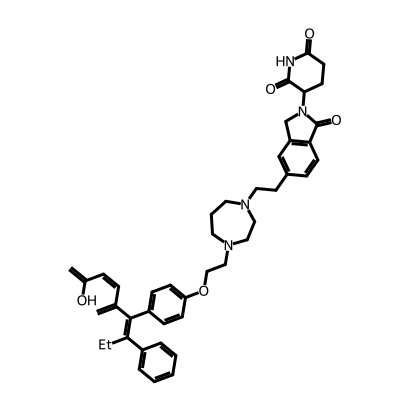 C=C(O)/C=C\C(=C)/C(=C(\CC)c1ccccc1)c1ccc(OCCN2CCCN(CCc3ccc4c(c3)CN(C3CCC(=O)NC3=O)C4=O)CC2)cc1